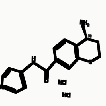 Cl.Cl.N[C@H]1CCSc2cc(C(=O)Nc3ccncc3)ccc21